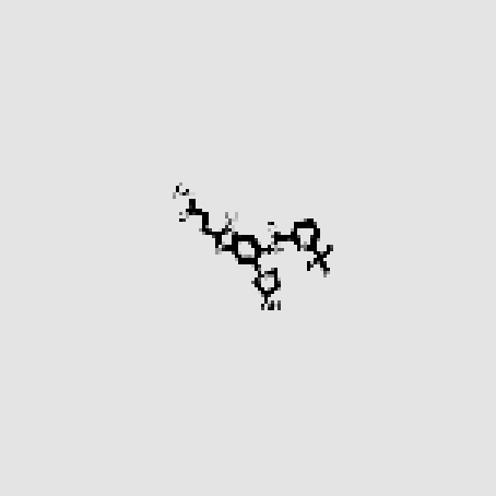 COC(=O)CCc1nc2cc(N3CC[C@@H](O)C3)c(NC(=O)c3cccc(C(F)(F)F)n3)cc2n1C